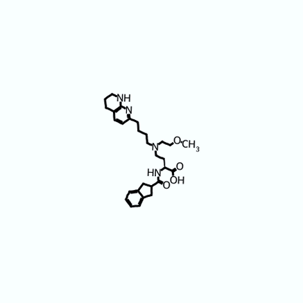 COCCN(CCCCc1ccc2c(n1)NCCC2)CC[C@H](NC(=O)C1Cc2ccccc2C1)C(=O)O